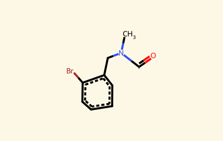 CN([C]=O)Cc1ccccc1Br